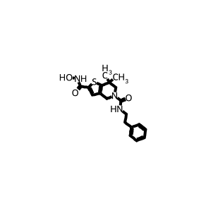 CC1(C)CN(C(=O)NCCc2ccccc2)Cc2cc(C(=O)NO)sc21